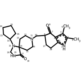 Cc1[nH]c2c(c1C)C(=O)C(CN1CCC3(CC1)C(=O)NCN3C1CCCC1)CC2